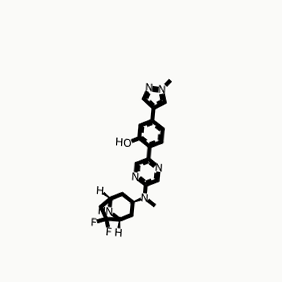 CN(c1cnc(-c2ccc(-c3cnn(C)c3)cc2O)cn1)[C@@H]1C[C@H]2CC(F)(F)[C@@H](C1)N2